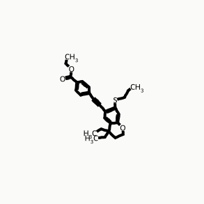 CCCSc1cc2c(cc1C#Cc1ccc(C(=O)OCC)cc1)C(CC)(CC)CCO2